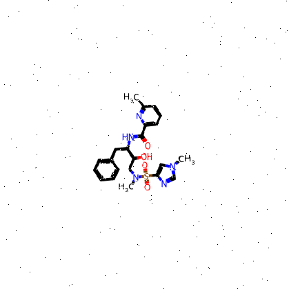 Cc1cccc(C(=O)NC(Cc2ccccc2)C(O)CN(C)S(=O)(=O)c2cn(C)cn2)n1